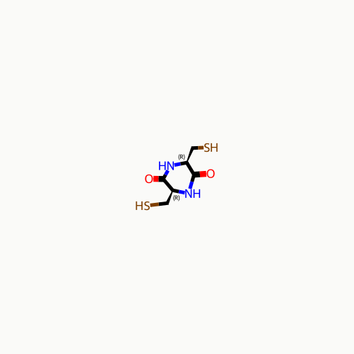 O=C1N[C@@H](CS)C(=O)N[C@H]1CS